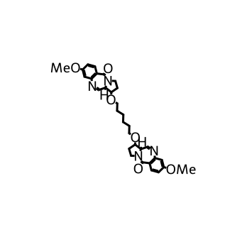 COc1ccc2c(c1)N=C[C@H]1C(OCCCCCCOC3CCN4C(=O)c5ccc(OC)cc5N=C[C@@H]34)CCN1C2=O